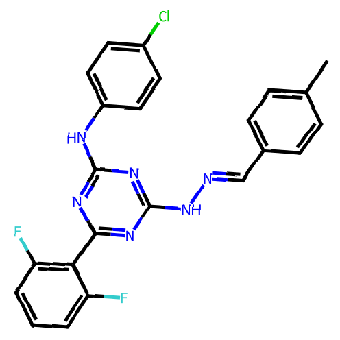 Cc1ccc(C=NNc2nc(Nc3ccc(Cl)cc3)nc(-c3c(F)cccc3F)n2)cc1